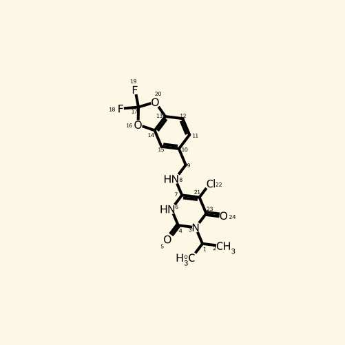 CC(C)n1c(=O)[nH]c(NCc2ccc3c(c2)OC(F)(F)O3)c(Cl)c1=O